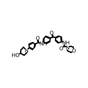 O=C(Nc1ccc(C(=O)c2ccc(NC(=O)N3CCOCC3)cc2)cc1)c1ccc(N2CCC(O)CC2)cc1